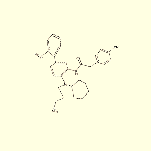 N#Cc1ccc(CC(=O)Nc2cc(-c3ccccc3C(=O)O)ccc2N(CCCC(F)(F)F)C2CCCCC2)cc1